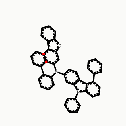 c1ccc(-c2ccccc2N(c2ccc3c(c2)oc2ccccc23)c2ccc3c4c(-c5ccccc5)cccc4n(-c4ccccc4)c3c2)cc1